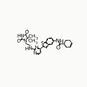 CC1(C)C(=O)NC(=O)N1CCNc1nccc(-c2cc3cc(NC(=O)C4CC=CCC4)ccc3s2)n1